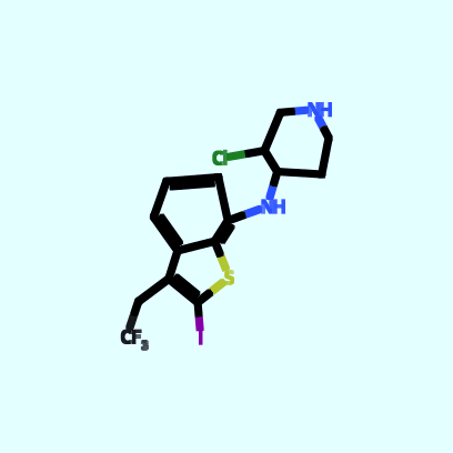 FC(F)(F)Cc1c(I)sc2c(NC3CCNCC3Cl)cccc12